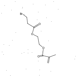 C=C(C)C(=O)OCCOC(=O)CCBr